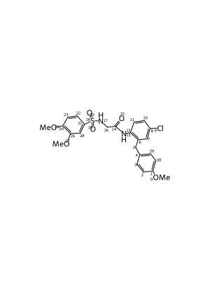 COc1ccc(Cc2cc(Cl)ccc2NC(=O)CNS(=O)(=O)c2ccc(OC)c(OC)c2)cc1